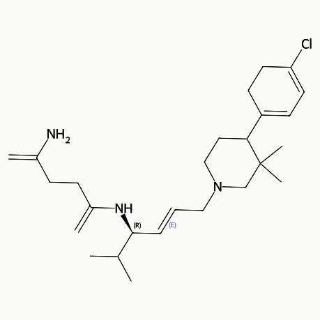 C=C(N)CCC(=C)N[C@@H](/C=C/CN1CCC(C2=CC=C(Cl)CC2)C(C)(C)C1)C(C)C